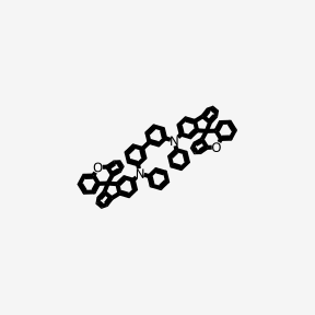 c1ccc(N(c2cccc(-c3cccc(N(c4ccccc4)c4ccc5c(c4)C4(c6ccccc6Oc6ccccc64)c4ccccc4-5)c3)c2)c2ccc3c(c2)C2(c4ccccc4Oc4ccccc42)c2ccccc2-3)cc1